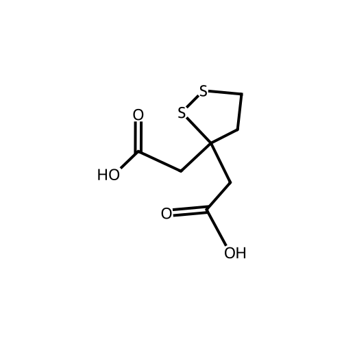 O=C(O)CC1(CC(=O)O)CCSS1